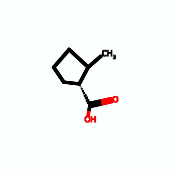 CC1CCC[C@H]1C(=O)O